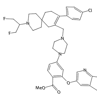 COC(=O)c1ccc(N2CCN(CC3=C(c4ccc(Cl)cc4)CCC4(CCN(C(CF)CF)CC4)C3)CC2)cc1Oc1cnc2[nH]ccc2c1